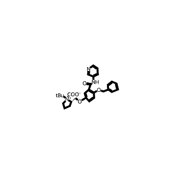 CC(C)(C)[N+]1(C(=O)[O-])CCC[C@H]1COc1ccc(OCc2ccccc2)c(C(=O)Nc2cccnc2)c1